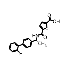 C[C@@H](NC(=O)c1ccc(C(=O)O)s1)c1ccc(-c2ccccc2F)cc1